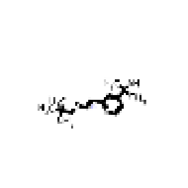 CC(C)(C)CS/C=C/c1cc(C(C)(C)S)ccn1